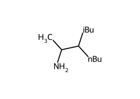 CCCCC(C(C)N)C(C)CC